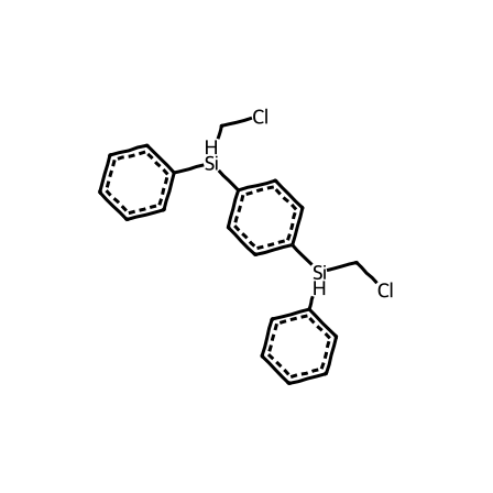 ClC[SiH](c1ccccc1)c1ccc([SiH](CCl)c2ccccc2)cc1